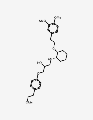 COCCc1ccc(OC[C@@H](O)CN[C@H]2CCCC[C@@H]2OCCc2ccc(OC)c(OC)c2)cc1